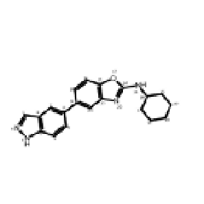 c1cc2[nH]ncc2cc1-c1ccc2oc(NC3CCCCC3)nc2c1